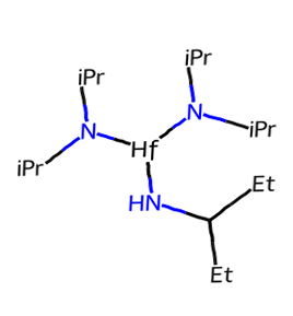 CCC(CC)[NH][Hf]([N](C(C)C)C(C)C)[N](C(C)C)C(C)C